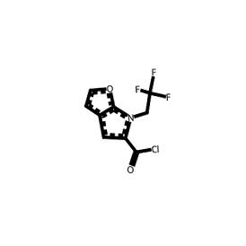 O=C(Cl)c1cc2ccoc2n1CC(F)(F)F